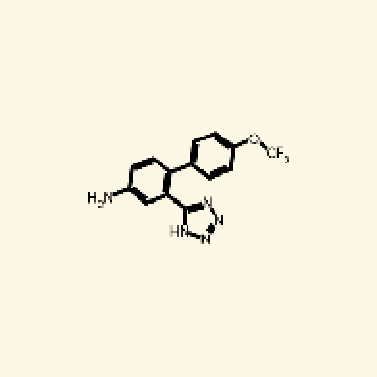 Nc1ccc(-c2ccc(OC(F)(F)F)cc2)c(-c2nnn[nH]2)c1